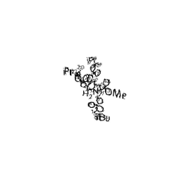 CC[C@H](C)COC(=O)OCCC(N)(Cc1ccc(OC(=O)O[C@@H](C)C(C)C)c(OC(=O)OC(C)C(C)C)c1)C(=O)OC